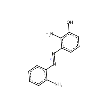 Nc1ccccc1/N=N/c1cccc(O)c1N